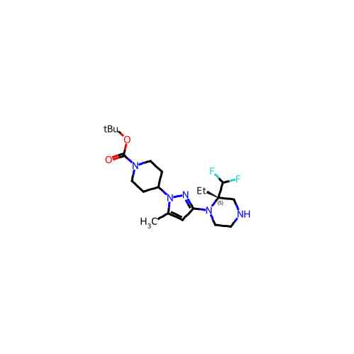 CC[C@@]1(C(F)F)CNCCN1c1cc(C)n(C2CCN(C(=O)OC(C)(C)C)CC2)n1